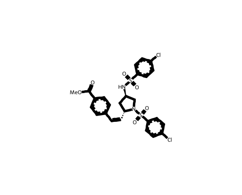 COC(=O)c1ccc(/C=C\[C@@H]2C[C@@H](NS(=O)(=O)c3ccc(Cl)cc3)CN2S(=O)(=O)c2ccc(Cl)cc2)cc1